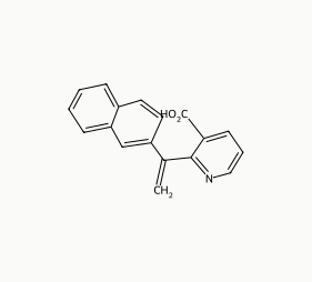 C=C(c1ccc2ccccc2c1)c1ncccc1C(=O)O